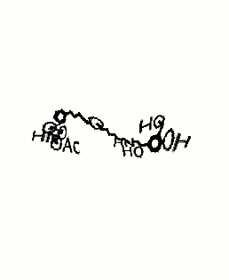 CC(=O)ONS(=O)(=O)c1cccc(CCCCOCCCCCCNC[C@@H](O)c2ccc(O)c(CO)c2)c1